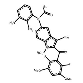 COc1cc(OC)c(F)c(C(=O)c2c(C(C)(C)C)c3cc(N(C(=O)C(C)(C)C)c4cccc(N)c4C)ncc3n2C(=O)O)c1F